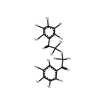 [2H]c1c([2H])c([2H])c(C(=O)C([2H])([2H])OC([2H])([2H])C(=O)c2c([2H])c([2H])c([2H])c([2H])c2[2H])c([2H])c1[2H]